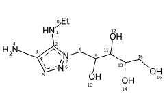 CCNc1c(N)cnn1CC(O)C(O)C(O)CO